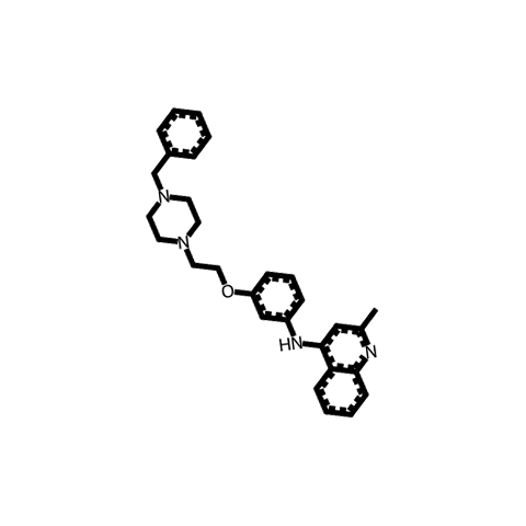 Cc1cc(Nc2cccc(OCCN3CCN(Cc4ccccc4)CC3)c2)c2ccccc2n1